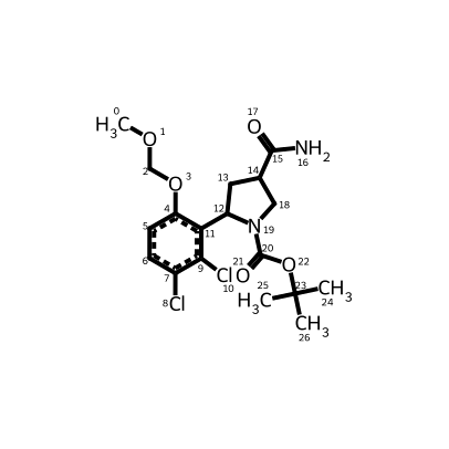 COCOc1ccc(Cl)c(Cl)c1C1CC(C(N)=O)CN1C(=O)OC(C)(C)C